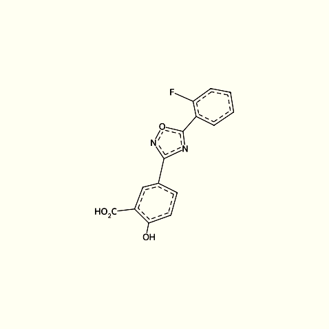 O=C(O)c1cc(-c2noc(-c3ccccc3F)n2)ccc1O